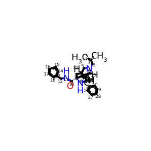 CC(C)CN1C[C@H]2C[C@]3(C(=O)NCc4ccccc4)NC[C@H]2[C@H]1[C@H]3Cc1ccccc1